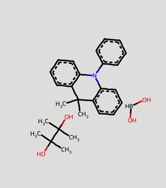 CC(C)(O)C(C)(C)O.CC1(C)c2ccccc2N(c2ccccc2)c2ccccc21.OBO